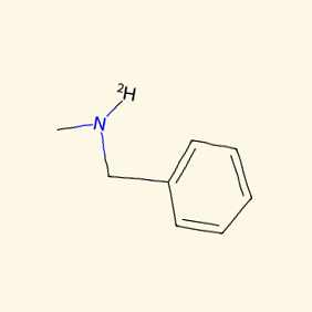 [2H]N(C)Cc1ccccc1